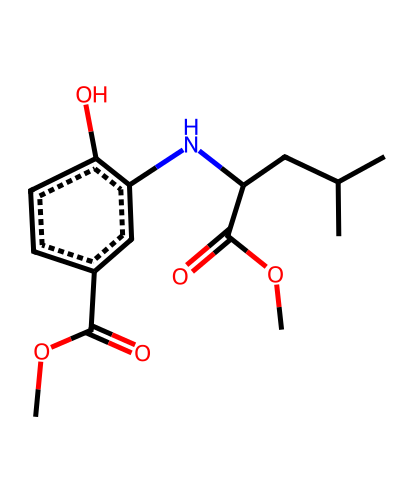 COC(=O)c1ccc(O)c(NC(CC(C)C)C(=O)OC)c1